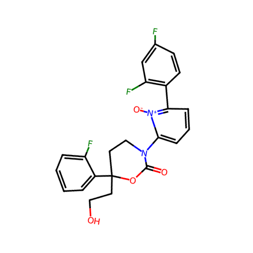 O=C1OC(CCO)(c2ccccc2F)CCN1c1cccc(-c2ccc(F)cc2F)[n+]1[O-]